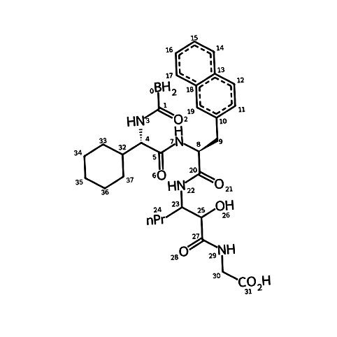 BC(=O)N[C@H](C(=O)N[C@@H](Cc1ccc2ccccc2c1)C(=O)NC(CCC)C(O)C(=O)NCC(=O)O)C1CCCCC1